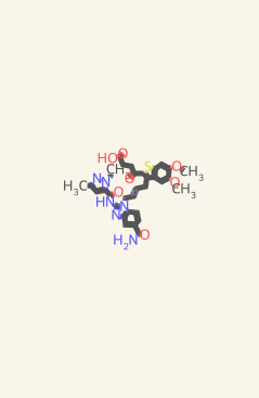 CCn1nc(C)cc1C(=O)Nc1nc2cc(C(N)=O)ccc2n1C/C=C/Cc1c(C(=O)CCC(=O)O)sc2cc(OC)c(OC)cc12